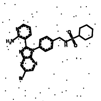 Nc1ncccc1-c1nc2cc(Br)cnc2n1-c1ccc(CNS(=O)(=O)C2CCCCC2)cc1